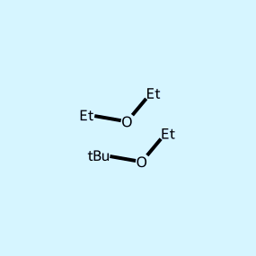 CCOC(C)(C)C.CCOCC